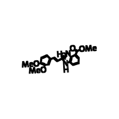 COC(=O)c1cccc(NC(=O)C=Cc2ccc(OC)c(OC)c2)c1N